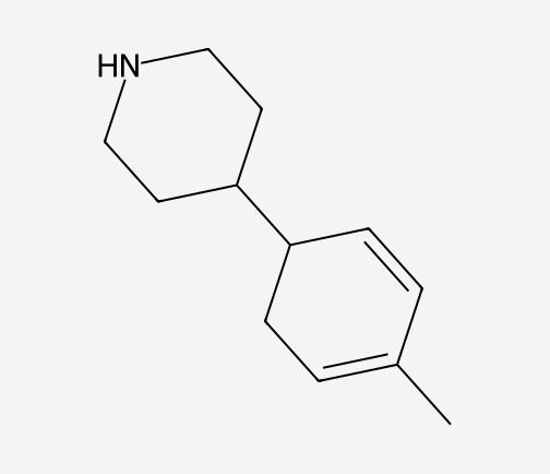 CC1=CCC(C2CCNCC2)C=C1